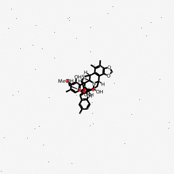 COc1c(C)cc2c(c1O)[C@@H]1[C@@H]3[C@@H]4SC[C@]5(N[C@H](CO)Cc6c5[nH]c5ccc(C)cc65)C(=O)OC[C@@H](c5c6c(c(C)c(C)c54)OCO6)N3[C@@H](O)[C@H](C2)N1C